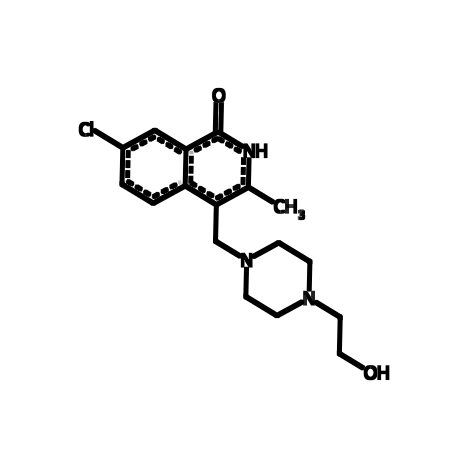 Cc1[nH]c(=O)c2cc(Cl)ccc2c1CN1CCN(CCO)CC1